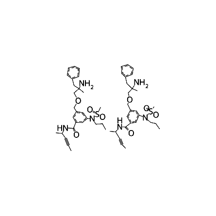 CC#CC(C)NC(=O)c1cc(COCC(C)(N)Cc2ccccc2)cc(N(CCC)S(C)(=O)=O)c1.CC#CC(C)NC(=O)c1cc(COCC(C)(N)Cc2ccccc2)cc(N(CCC)S(C)(=O)=O)c1